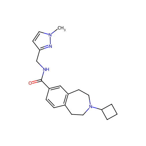 Cn1ccc(CNC(=O)c2ccc3c(c2)CCN(C2CCC2)CC3)n1